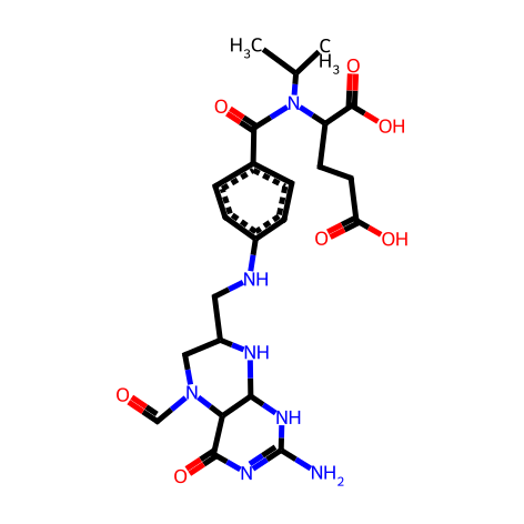 CC(C)N(C(=O)c1ccc(NCC2CN(C=O)C3C(=O)N=C(N)NC3N2)cc1)C(CCC(=O)O)C(=O)O